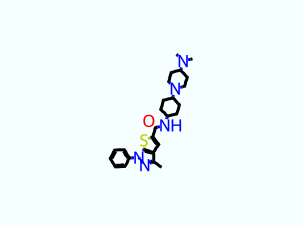 Cc1nn(-c2ccccc2)c2sc(C(=O)NC3CCC(N4CCC(N(C)C)CC4)CC3)cc12